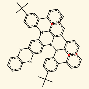 Cc1cc2c3c(c1)N(c1ccc(C(C)(C)C)cc1-c1ccccc1)c1cc4c(cc1B3N(c1ccc(C(C)(C)C)cc1-c1ccccc1)c1ccccc1-2)Sc1ccccc1S4